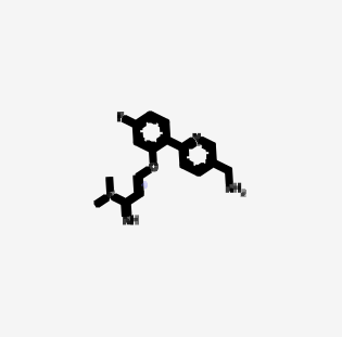 CN(C)C(=N)/C=C/Oc1cc(F)ccc1-c1ccc(CN)cn1